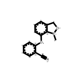 CB1OCc2cccc(Oc3ccccc3C#N)c21